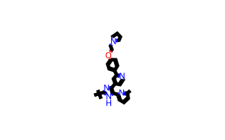 Cc1cccc(-c2[nH]c(C(C)(C)C)nc2-c2ccnc(-c3ccc(OCCN4CCCC4)cc3)c2)n1